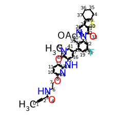 CC#CC(=O)NCCOc1cccc(Nc2cc(-c3cc(F)cc(-n4ncc5c6c(sc5c4=O)CCCC6)c3COC(C)=O)cn(C)c2=O)n1